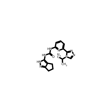 CC(C)n1cnnc1-c1cccc(NC(=O)Nc2[nH]nc3c2CCC3)n1